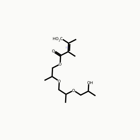 C/C(C(=O)O)=C(\C)C(=O)OCC(C)OCC(C)OCC(C)O